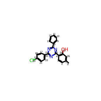 Cc1ccc(-c2nc(-c3ccccc3)nc(-c3ccc(Cl)cc3)n2)c(O)c1